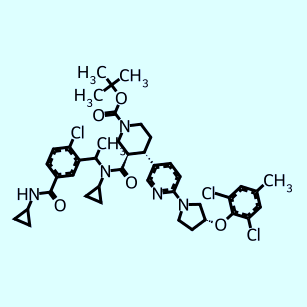 Cc1cc(Cl)c(O[C@@H]2CCN(c3ccc([C@H]4CCN(C(=O)OC(C)(C)C)C[C@@H]4C(=O)N(C4CC4)C(C)c4cc(C(=O)NC5CC5)ccc4Cl)cn3)C2)c(Cl)c1